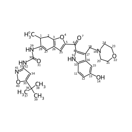 CC1Cc2oc(C(=O)c3[nH]c4ccc(O)cc4c3CN3CCOCC3)cc2C=C1NC(=O)Nc1cc(C(C)(C)C)on1